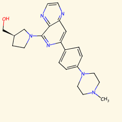 CN1CCN(c2ccc(-c3cc4nccnc4c(N4CC[C@@H](CO)C4)n3)cc2)CC1